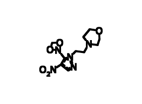 O=[N+]([O-])c1cnn(CCN2CCOCC2)c1N1OCO1